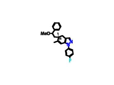 COC(C[C@@]1(C)Cc2cnn(-c3ccc(F)cc3)c2C=C1C)c1ccccc1